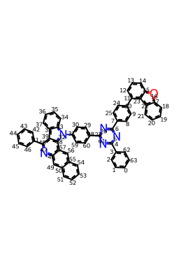 c1ccc(-c2nc(-c3ccc(-c4cccc5oc6ccccc6c45)cc3)nc(-c3ccc(-n4c5ccccc5c5c(-c6ccccc6)nc6cc7ccccc7cc6c54)cc3)n2)cc1